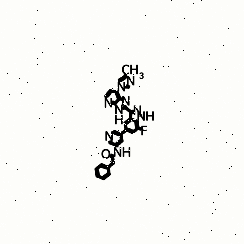 Cc1cn(-c2ccnc3[nH]c(-c4n[nH]c5c(F)cc(-c6cncc(NC(=O)Cc7ccccc7)c6)cc45)nc23)cn1